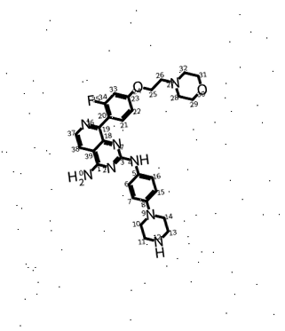 Nc1nc(Nc2ccc(N3CCNCC3)cc2)nc2c(-c3ccc(OCCN4CCOCC4)cc3F)nccc12